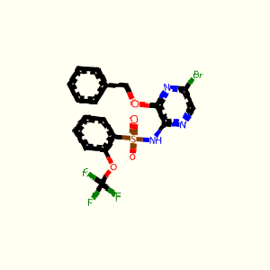 O=S(=O)(Nc1ncc(Br)nc1OCc1ccccc1)c1ccccc1OC(F)(F)F